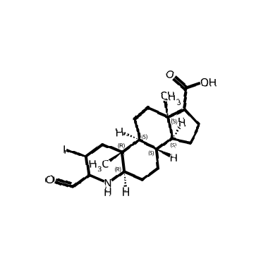 C[C@]12CC(I)C(C=O)N[C@@H]1CC[C@@H]1[C@@H]2CC[C@]2(C)C(C(=O)O)CC[C@@H]12